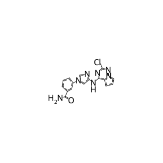 NC(=O)c1cccc(-n2cnc(Nc3nc(Cl)nn4cccc34)c2)c1